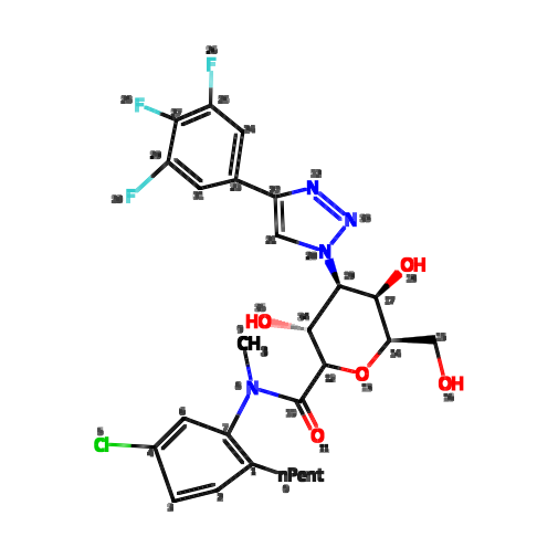 CCCCCc1ccc(Cl)cc1N(C)C(=O)C1O[C@H](CO)[C@H](O)[C@H](n2cc(-c3cc(F)c(F)c(F)c3)nn2)[C@H]1O